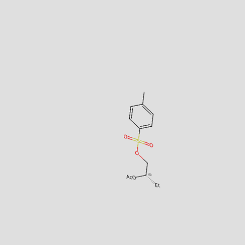 CC[C@@H](COS(=O)(=O)c1ccc(C)cc1)OC(C)=O